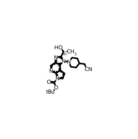 C[C@@H](O)c1nc2cnc3c(ccn3C(=O)OC(C)(C)C)c2n1N1CCC(CC#N)CC1